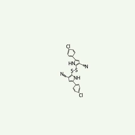 N#Cc1cc(-c2ccc(Cl)cc2)[nH]c1SSc1[nH]c(-c2ccc(Cl)cc2)cc1C#N